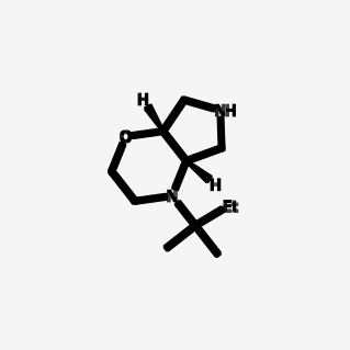 CCC(C)(C)N1CCO[C@@H]2CNC[C@@H]21